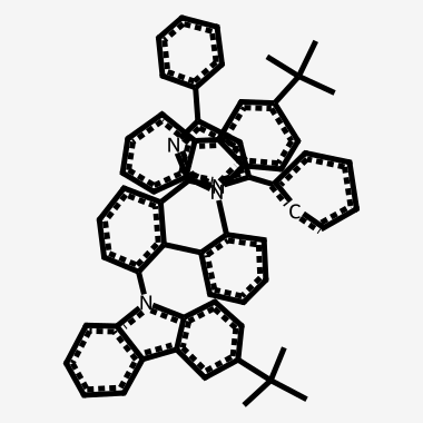 CC(C)(C)c1ccc2c(c1)c1ccccc1n2-c1ccccc1-c1c(-c2nc(-c3ccccc3)cc(-c3ccccc3)n2)cccc1-n1c2ccccc2c2cc(C(C)(C)C)ccc21